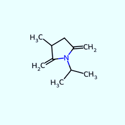 C=C1CC(C)C(=C)N1C(C)C